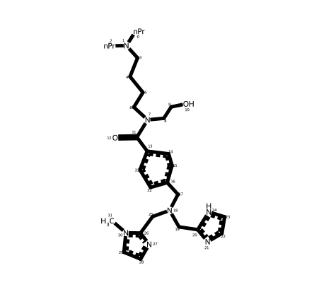 CCCN(CCC)CCCCN(CCO)C(=O)c1ccc(CN(Cc2ncc[nH]2)Cc2nccn2C)cc1